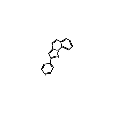 c1ccc2c(c1)cnc1cc(-c3ccncc3)nn12